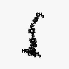 CCCOCCCCCc1ccc(C#Cc2ccc(C(=O)CCC[C@H](C(=O)OC)[C@@H](C)O)cc2)cc1